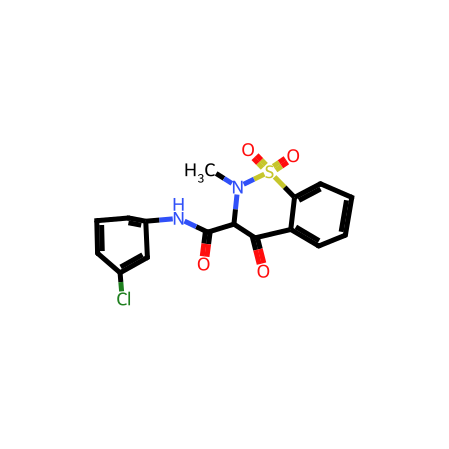 CN1C(C(=O)Nc2cccc(Cl)c2)C(=O)c2ccccc2S1(=O)=O